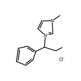 CCC(c1ccccc1)[n+]1ccn(C)c1.[Cl-]